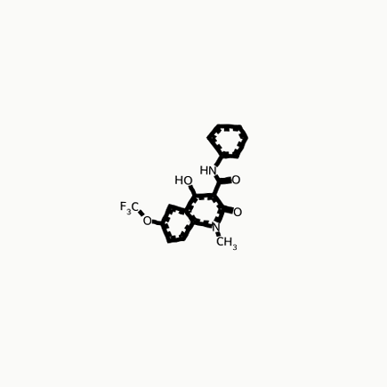 Cn1c(=O)c(C(=O)Nc2ccccc2)c(O)c2cc(OC(F)(F)F)ccc21